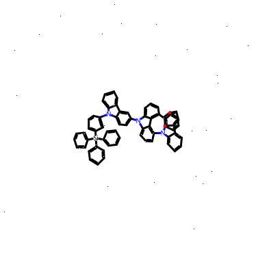 c1ccc(-c2cccc3c2c2c(-n4c5ccccc5c5ccccc54)cccc2n3-c2ccc3c(c2)c2ccccc2n3-c2cccc([Si](c3ccccc3)(c3ccccc3)c3ccccc3)c2)cc1